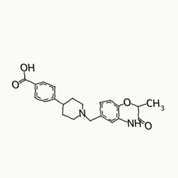 CC1Oc2ccc(CN3CCC(c4ccc(C(=O)O)cc4)CC3)cc2NC1=O